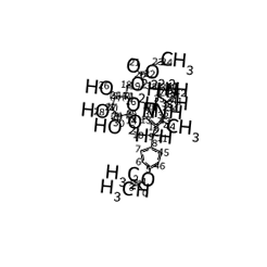 [2H]C(C)(C)Oc1ccc(C([2H])([2H])c2c(O[C@@H]3O[C@H](COC(=O)OCC)[C@@H](O)[C@H](O)[C@H]3O)nn(C([2H])(C([2H])([2H])[2H])C([2H])([2H])[2H])c2C)cc1